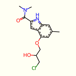 Cc1cc(OCC(O)CCl)c2cc(C(=O)N(C)C)[nH]c2c1